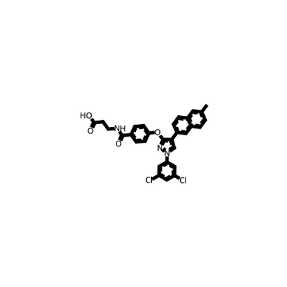 Cc1ccc2cc(-c3cn(-c4cc(Cl)cc(Cl)c4)nc3Oc3ccc(C(=O)NCCC(=O)O)cc3)ccc2c1